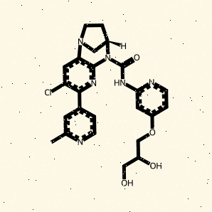 Cc1cc(-c2nc3c(cc2Cl)N2CC[C@@H](C2)N3C(=O)Nc2cc(OCC(O)CO)ccn2)ccn1